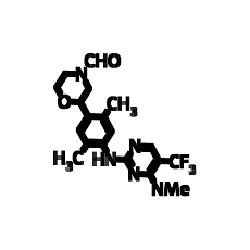 CNc1nc(Nc2cc(C)c(C3CN(C=O)CCO3)cc2C)ncc1C(F)(F)F